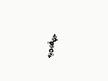 Cc1cn2nc(-c3cc(F)c4nn(C5CCN(C(=O)OC(C)(C)C)CC5)nc4c3)cc(C)c2n1